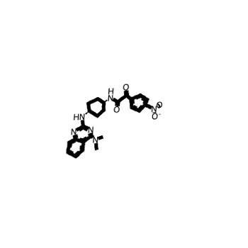 CN(C)c1nc(N[C@H]2CC[C@@H](NC(=O)C(=O)c3ccc([N+](=O)[O-])cc3)CC2)nc2ccccc12